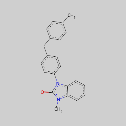 Cc1ccc(Cc2ccc(-n3c(=O)n(C)c4ccccc43)cc2)cc1